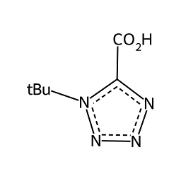 CC(C)(C)n1nnnc1C(=O)O